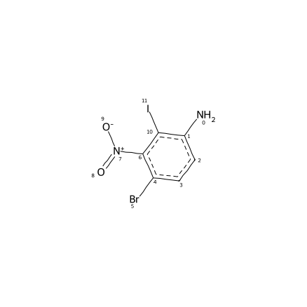 Nc1ccc(Br)c([N+](=O)[O-])c1I